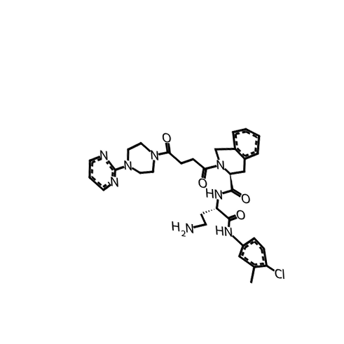 Cc1cc(NC(=O)[C@H](CCN)NC(=O)[C@@H]2Cc3ccccc3CN2C(=O)CCC(=O)N2CCN(c3ncccn3)CC2)ccc1Cl